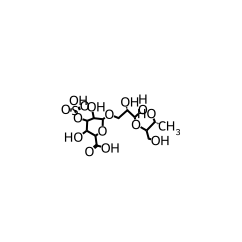 C[C@@H](O)C(CO)OC(O)[C@@H](O)COC1OC(C(=O)O)C(O)C(OS(=O)(=O)O)C1O